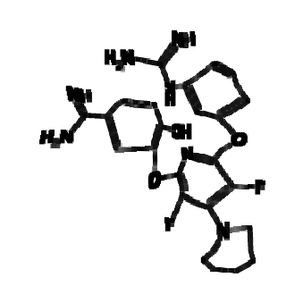 N=C(N)Nc1cccc(Oc2nc(Oc3cc(C(=N)N)ccc3O)c(F)c(N3CCCCC3)c2F)c1